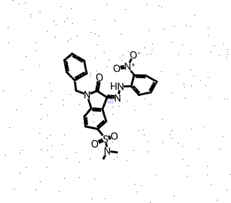 CN(C)S(=O)(=O)c1ccc2c(c1)/C(=N/Nc1ccccc1[N+](=O)[O-])C(=O)N2Cc1ccccc1